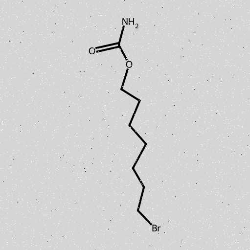 NC(=O)OCCCCCCCBr